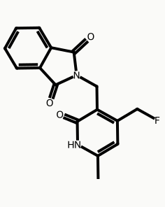 Cc1cc(CF)c(CN2C(=O)c3ccccc3C2=O)c(=O)[nH]1